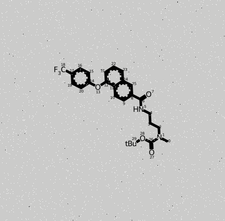 CN(CCCNC(=O)c1ccc2c(Oc3ccc(C(F)(F)F)cc3)cccc2c1)C(=O)OC(C)(C)C